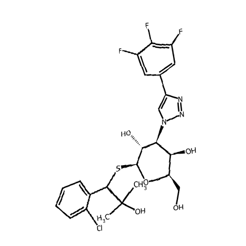 CC(C)(O)C(S[C@@H]1O[C@H](CO)[C@H](O)[C@H](n2cc(-c3cc(F)c(F)c(F)c3)nn2)[C@H]1O)c1ccccc1Cl